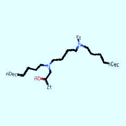 CCCCCCCCCCCCCCN(CC)CCCCN(CCCCCCCCCCCCCC)CC(O)CC